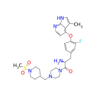 Cc1c[nH]c2nccc(Oc3ccc(C[C@H](N)C(=O)N4CCN(CC5CCN(S(C)(=O)=O)CC5)CC4)cc3F)c12